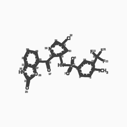 Cc1ccc(S(=O)(=O)Nc2cc(Cl)cnc2C(=O)c2cccc3[nH]c(=O)oc23)cc1C(F)(F)F